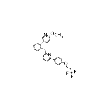 COc1ccc(-c2ccccc2Cc2cccc(-c3ccc(OCCC(F)(F)F)cc3)n2)cn1